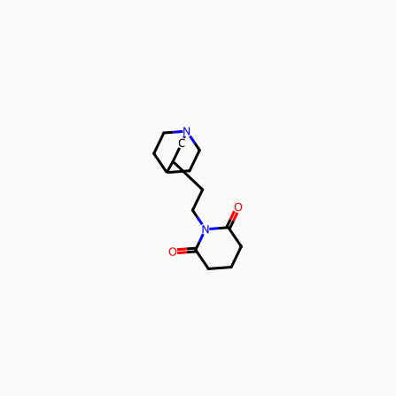 O=C1CCCC(=O)N1CCC1CN2CCC1CC2